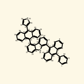 c1ccc(-c2c3ccccc3c(-c3cccc4c3sc3cccc(-c5c6ccccc6c(-c6ccsc6)c6ccccc56)c34)c3ccccc23)cc1